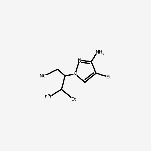 CCCC(CC)C(CC#N)n1cc(CC)c(N)n1